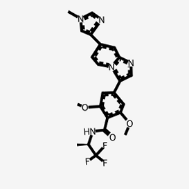 COc1cc(-c2cnc3cc(-c4cn(C)cn4)ccn23)cc(OC)c1C(=O)N[C@H](C)C(F)(F)F